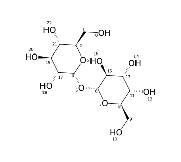 OC[C@H]1O[C@H](O[C@H]2O[C@H](CO)[C@@H](O)[C@@H](O)[C@@H]2O)[C@H](O)[C@@H](O)[C@@H]1O